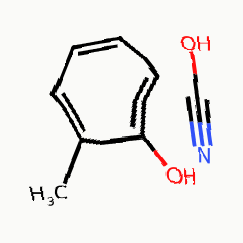 Cc1ccccc1O.N#CO